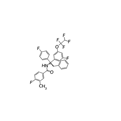 Cc1cc(C(=O)N[C@](Cc2ccccc2)(c2ccc(F)cc2)c2cc(F)cc(OC(F)(F)C(F)F)c2)ccc1F